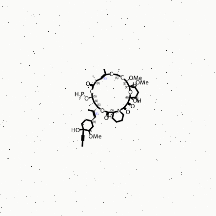 CC#CC1(O)CC[C@@H](/C=C(\C)[C@H]2OC(=O)[C@@H]3CCCCN3C(=O)C(=O)[C@]3(O)O[C@H]([C@@H](OC)C[C@@H](C)C/C(C)=C/[C@@H](C)C(=O)C[C@H](OP)[C@H]2C)[C@@H](OC)C[C@H]3C)C[C@H]1OC